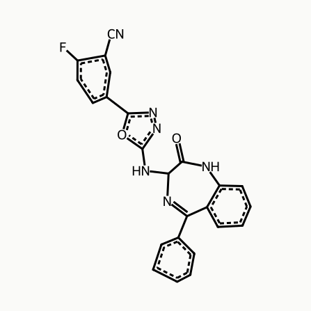 N#Cc1cc(-c2nnc(NC3N=C(c4ccccc4)c4ccccc4NC3=O)o2)ccc1F